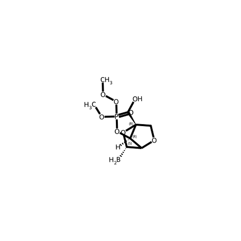 B[C@@H]1O[C@]2(CO)COC1[C@H]2OP(=O)(OC)OOC